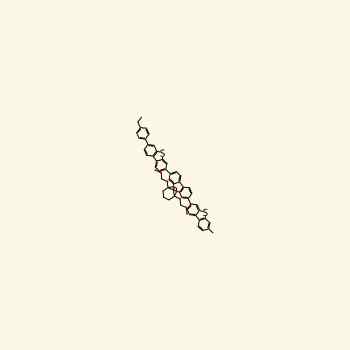 CCCCC12CCCC(CCCC)(CCC1)C21c2cc(-c3ccc4c(c3)sc3cc(C)ccc34)ccc2-c2ccc(-c3ccc4c(c3)sc3cc(-c5ccc(CC)cc5)ccc34)cc21